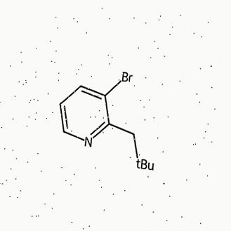 CC(C)(C)Cc1ncccc1Br